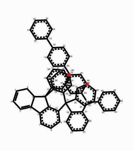 C1=CCC2C(=C1)c1cccc3c1C2(c1ccccc1)c1ccccc1C3(c1ccccc1)c1ccccc1N(c1ccccc1)c1ccc(-c2ccc(-c3ccccc3)cc2)cc1